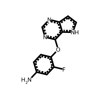 Nc1ccc(Oc2ncnc3cc[nH]c23)c(F)c1